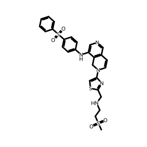 CS(=O)(=O)CCNCc1nc(N2C=Cc3cncc(Nc4ccc(S(=O)(=O)c5ccccc5)cc4)c3C2)cs1